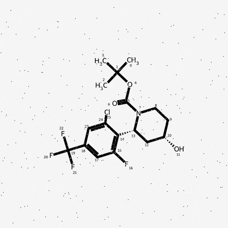 CC(C)(C)OC(=O)N1CC[C@H](O)C[C@@H]1c1c(F)cc(C(F)(F)F)cc1Cl